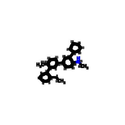 CCc1ccccc1-c1cc(-c2ccc(NC)c(-c3ccccc3)c2)ccc1C